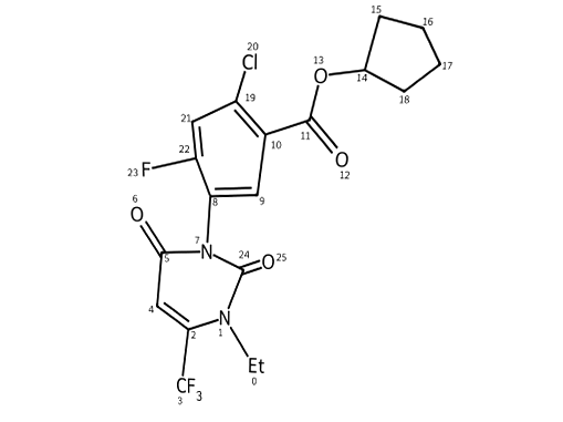 CCn1c(C(F)(F)F)cc(=O)n(-c2cc(C(=O)OC3CCCC3)c(Cl)cc2F)c1=O